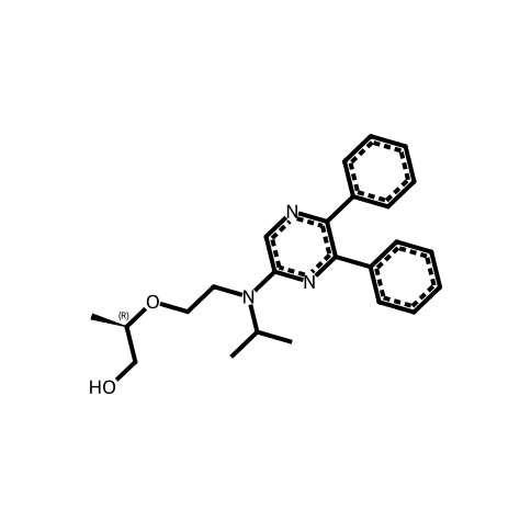 CC(C)N(CCO[C@H](C)CO)c1cnc(-c2ccccc2)c(-c2ccccc2)n1